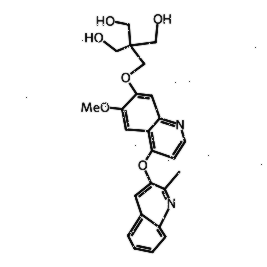 COc1cc2c(Oc3cc4ccccc4nc3C)ccnc2cc1OCC(CO)(CO)CO